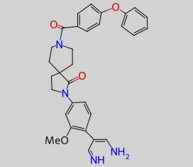 COc1cc(N2CCC3(CCN(C(=O)c4ccc(Oc5ccccc5)cc4)CC3)C2=O)ccc1/C(C=N)=C/N